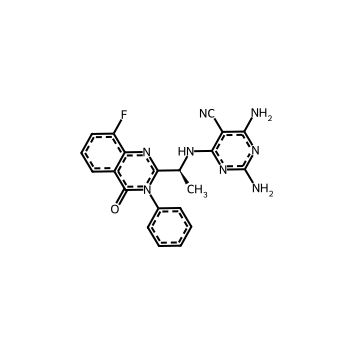 C[C@H](Nc1nc(N)nc(N)c1C#N)c1nc2c(F)cccc2c(=O)n1-c1ccccc1